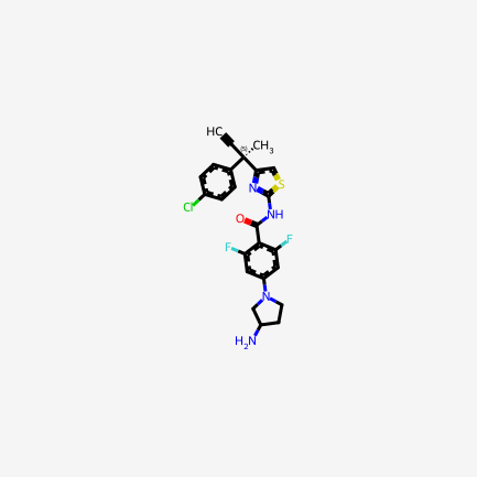 C#C[C@](C)(c1ccc(Cl)cc1)c1csc(NC(=O)c2c(F)cc(N3CCC(N)C3)cc2F)n1